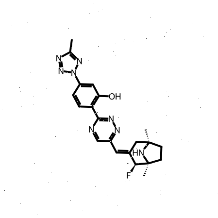 Cc1nnn(-c2ccc(-c3ncc(/C=C4\C[C@@]5(C)CC[C@](C)(N5)[C@H]4F)nn3)c(O)c2)n1